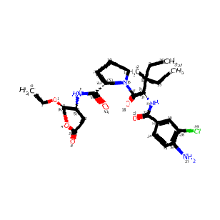 CCO[C@@H]1OC(=O)C[C@@H]1NC(=O)[C@@H]1CCCN1C(=O)[C@@H](NC(=O)c1ccc(N)c(Cl)c1)C(C)(CC)CC